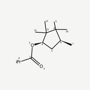 CC(C)C(=O)O[C@@H]1C[C@H](C)C(C)(C)C1(C)C